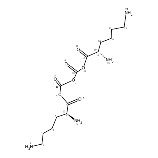 NCCCC[C@H](N)C(=O)OC(=O)OC(=O)OC(=O)[C@@H](N)CCCCN